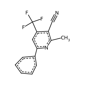 Cc1nc(-c2ccccc2)cc(C(F)(F)F)c1C#N